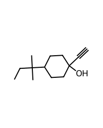 C#CC1(O)CCC(C(C)(C)CC)CC1